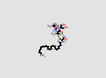 CC/C=C\C/C=C\C/C=C\C/C=C\C/C=C\C/C=C\CCC(=O)N[C@@H](CSSC(C)(C)[C@H](NC(=O)OC(C)(C)C)C(=O)NC(CO)CO)C(N)=O